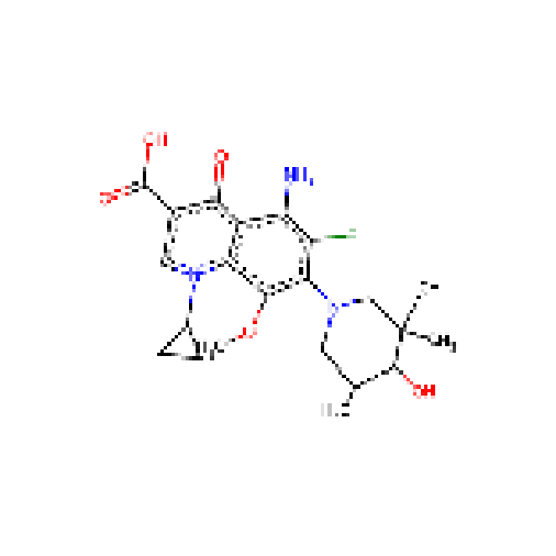 COc1c(N2CC(C)C(O)C(C)(C)C2)c(F)c(N)c2c(=O)c(C(=O)O)cn(C3CC3)c12